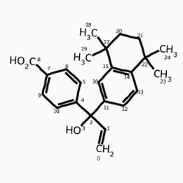 C=CC(O)(c1ccc(C(=O)O)cc1)c1ccc2c(c1)C(C)(C)CCC2(C)C